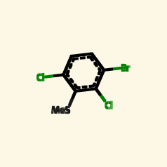 CSc1c(Cl)ccc(Br)c1Cl